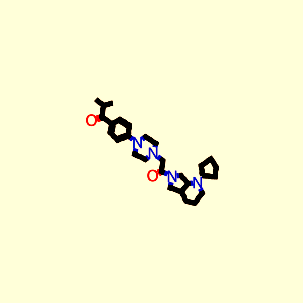 CC(C)C(=O)c1ccc(N2CCN(CC(=O)N3CC4CCCN(C5CCCC5)C4C3)CC2)cc1